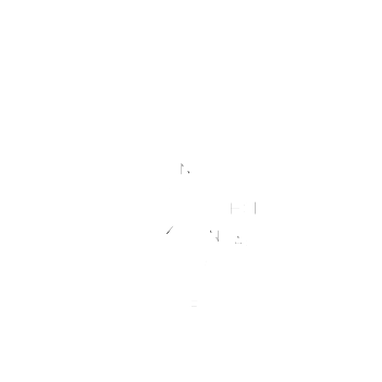 CC(=O)N(OCc1ccccc1F)C1CCN(CCc2ccccc2)C[C@@H]1C.Cl